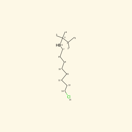 CC(C)C(C)(C)BCCCCCCCCCl